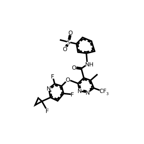 Cc1c(C(F)(F)F)nnc(Oc2c(F)cc(C3(F)CC3)nc2F)c1C(=O)Nc1cccc(S(C)(=O)=O)c1